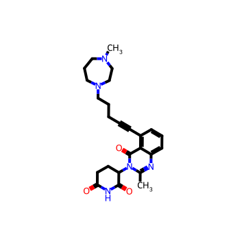 Cc1nc2cccc(C#CCCCN3CCCN(C)CC3)c2c(=O)n1C1CCC(=O)NC1=O